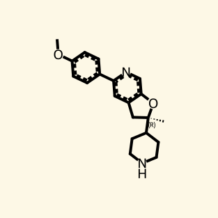 COc1ccc(-c2cc3c(cn2)O[C@@](C)(C2CCNCC2)C3)cc1